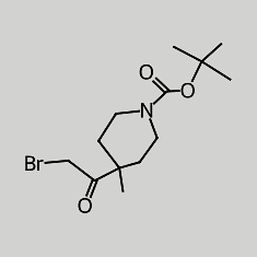 CC(C)(C)OC(=O)N1CCC(C)(C(=O)CBr)CC1